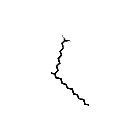 CCCCCCCCCCCCC(C)CCCCCCCCC(=O)O